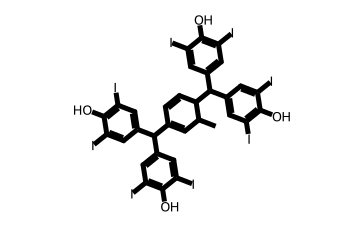 CC1C=C(C(c2cc(I)c(O)c(I)c2)c2cc(I)c(O)c(I)c2)C=CC1C(c1cc(I)c(O)c(I)c1)c1cc(I)c(O)c(I)c1